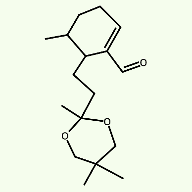 CC1CCC=C(C=O)C1CCC1(C)OCC(C)(C)CO1